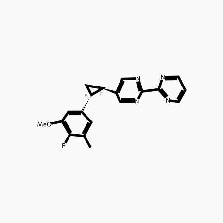 COc1cc([C@@H]2C[C@H]2c2cnc(-c3ncccn3)nc2)cc(C)c1F